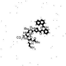 CCC(C)C(=O)NC(=O)[C@H](CCCN)NC(=O)[C@H](CC(=O)O)NC(=O)[C@@H](NC(=O)[C@@H]1CC(C(=O)Cc2ccccc2NC(=O)c2cccc3ccccc23)CN1)[C@@H](C)CC